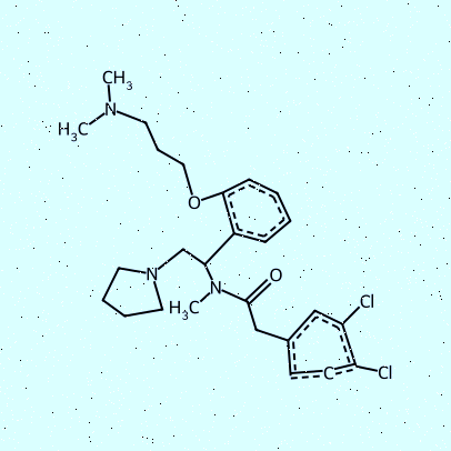 CN(C)CCCOc1ccccc1C(CN1CCCC1)N(C)C(=O)Cc1ccc(Cl)c(Cl)c1